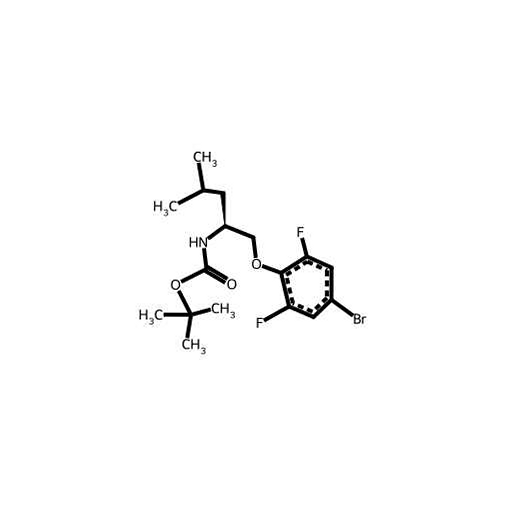 CC(C)C[C@@H](COc1c(F)cc(Br)cc1F)NC(=O)OC(C)(C)C